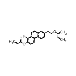 C=CC(=C)OCCc1ccc2c(ccc3c(F)c(OC(=O)C=C)ccc32)c1